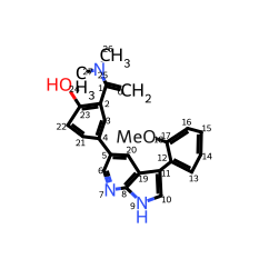 C=C(c1cc(-c2cnc3[nH]cc(-c4ccccc4OC)c3c2)ccc1O)N(C)C